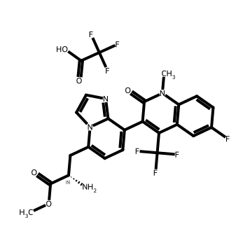 COC(=O)[C@@H](N)Cc1ccc(-c2c(C(F)(F)F)c3cc(F)ccc3n(C)c2=O)c2nccn12.O=C(O)C(F)(F)F